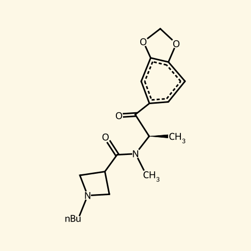 CCCCN1CC(C(=O)N(C)[C@H](C)C(=O)c2ccc3c(c2)OCO3)C1